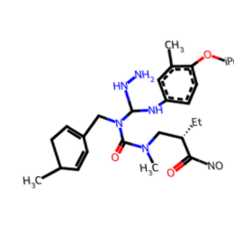 CC[C@@H](CN(C)C(=O)N(CC1=CCC(C)C=C1)C(NN)Nc1ccc(OC(C)C)c(C)c1)C(=O)N=O